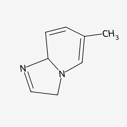 CC1=CN2CC=NC2C=C1